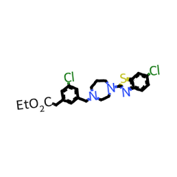 CCOC(=O)Cc1cc(Cl)cc(CN2CCCN(c3nc4ccc(Cl)cc4s3)CC2)c1